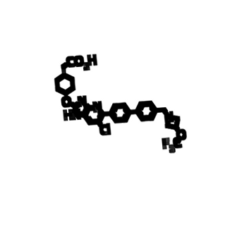 O=C(O)C[C@H]1CC[C@H](Oc2nc3nc(-c4ccc(-c5ccc(CN6CC(OC(F)(F)F)C6)cc5)cc4)c(Cl)cc3[nH]2)CC1